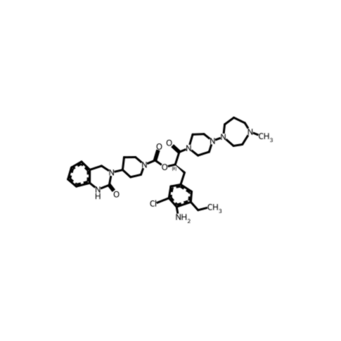 CCc1cc(C[C@@H](OC(=O)N2CCC(N3Cc4ccccc4NC3=O)CC2)C(=O)N2CCN(N3CCCN(C)CC3)CC2)cc(Cl)c1N